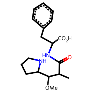 COC(C1CCCN1)C(C)C(=O)NC(Cc1ccccc1)C(=O)O